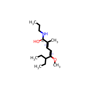 CCCN[C@H](O)/C(C)=C/C=C(/OC)C(CC)CC